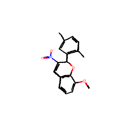 COc1cccc2c1OC(c1cc(C)ccc1C)C([N+](=O)[O-])=C2